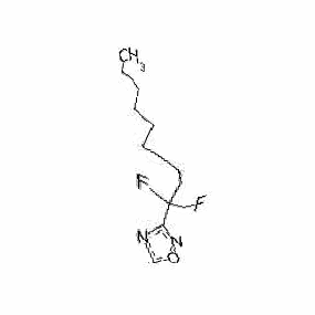 CCCCCCCC(F)(F)c1n[c]on1